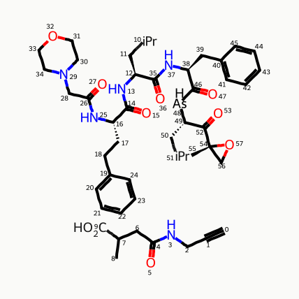 C#CCNC(=O)CC(C)C(=O)O.CC(C)C[C@H](NC(=O)[C@H](CCc1ccccc1)NC(=O)CN1CCOCC1)C(=O)N[C@@H](Cc1ccccc1)C(=O)[AsH][C@@H](CC(C)C)C(=O)[C@@]1(C)CO1